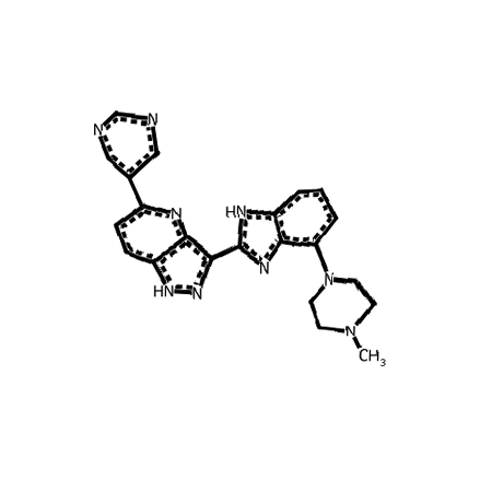 CN1CCN(c2cccc3[nH]c(-c4n[nH]c5ccc(-c6cncnc6)nc45)nc23)CC1